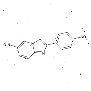 O=[N+]([O-])c1ccc(-c2cn3cc([N+](=O)[O-])ccc3n2)cc1